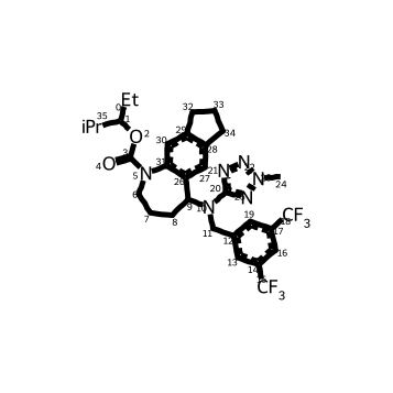 CCC(OC(=O)N1CCCC(N(Cc2cc(C(F)(F)F)cc(C(F)(F)F)c2)c2nnn(C)n2)c2cc3c(cc21)CCC3)C(C)C